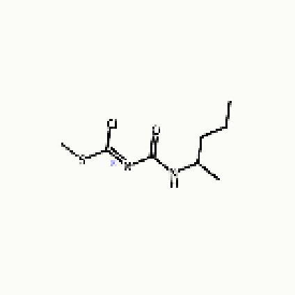 CCCC(C)NC(=O)/N=C(\Cl)SC